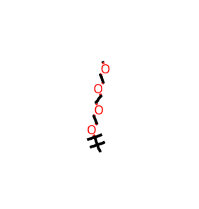 COCCOCCOCCOC(C)(C)C(C)(C)C